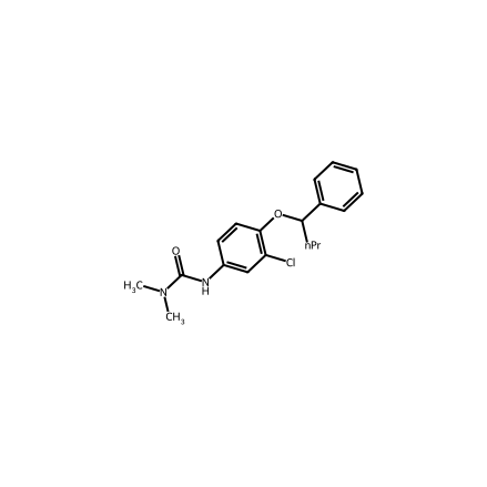 CCCC(Oc1ccc(NC(=O)N(C)C)cc1Cl)c1ccccc1